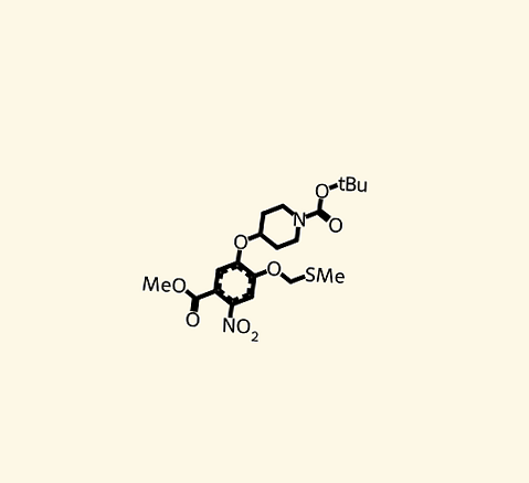 COC(=O)c1cc(OC2CCN(C(=O)OC(C)(C)C)CC2)c(OCSC)cc1[N+](=O)[O-]